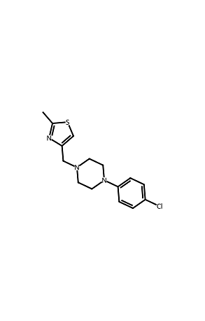 Cc1nc(CN2CCN(c3ccc(Cl)cc3)CC2)cs1